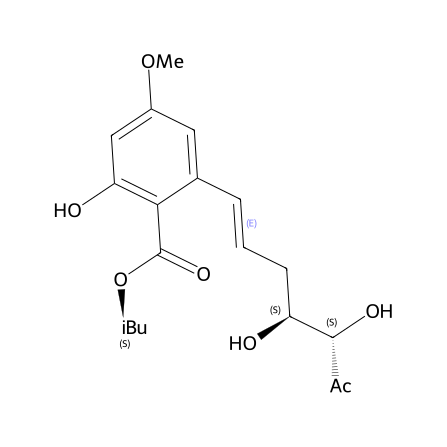 CC[C@H](C)OC(=O)c1c(O)cc(OC)cc1/C=C/C[C@H](O)[C@H](O)C(C)=O